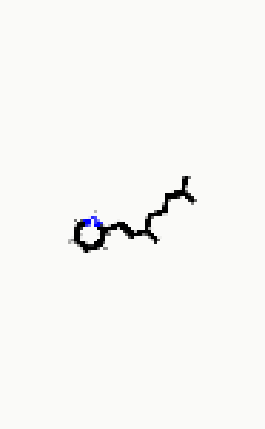 CC(C)=CCCC(C)C=Cc1ccccn1